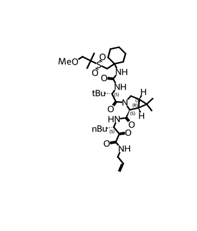 C=CCNC(=O)C(=O)[C@H](CCCC)NC(=O)[C@@H]1[C@@H]2[C@H](CN1C(=O)[C@@H](NC(=O)NC1(CS(=O)(=O)C(C)(C)COC)CCCCC1)C(C)(C)C)C2(C)C